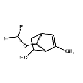 CC1=CC2CC(O)C1C2OC(F)F